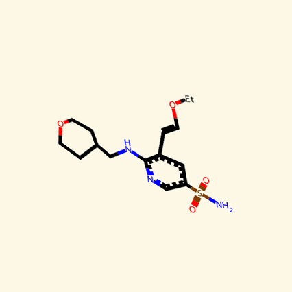 CCOC=Cc1cc(S(N)(=O)=O)cnc1NCC1CCOCC1